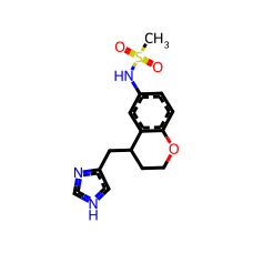 CS(=O)(=O)Nc1ccc2c(c1)C(Cc1c[nH]cn1)CCO2